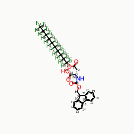 O=C(C[C@H](NC(=O)OCC1c2ccccc2-c2ccccc21)C(=O)O)OC(F)(F)C(F)(F)C(F)(F)C(F)(F)C(F)(F)C(F)(F)C(F)(F)C(F)(F)C(F)(F)C(F)(F)F